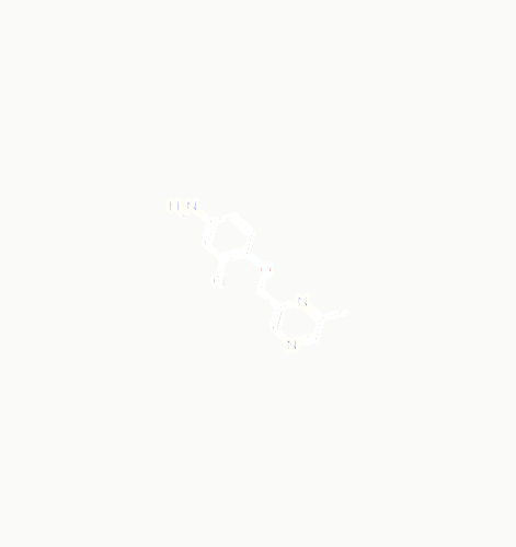 Cc1cncc(COc2ccc(N)cc2Cl)n1